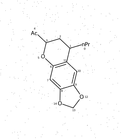 CCCC1CC(C(C)=O)Oc2cc3c(cc21)OCO3